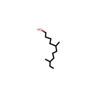 CCC(C)CCCC(C)CCCCO